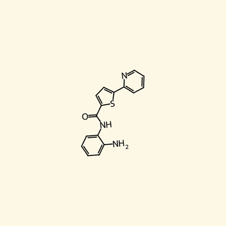 Nc1ccccc1NC(=O)c1ccc(-c2ccccn2)s1